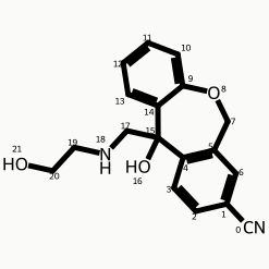 N#Cc1ccc2c(c1)COc1ccccc1C2(O)CNCCO